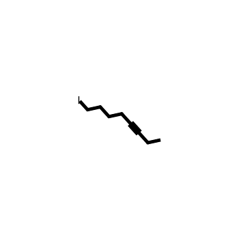 CCC#CCCCCI